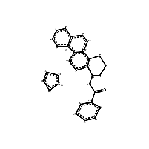 O=C(CC1CCCc2c1ccc1c2ccc2ccccc21)c1ccccc1.c1ccsc1